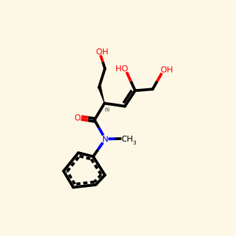 CN(C(=O)[C@H](C=C(O)CO)CCO)c1ccccc1